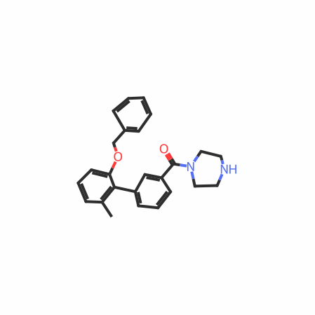 Cc1cccc(OCc2ccccc2)c1-c1cccc(C(=O)N2CCNCC2)c1